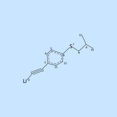 [Li][C]#Cc1ccc(SCC(C)C)cc1